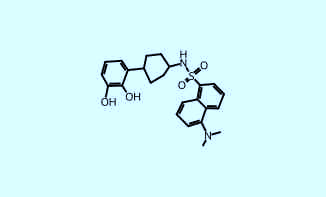 CN(C)c1cccc2c(S(=O)(=O)NC3CCC(c4cccc(O)c4O)CC3)cccc12